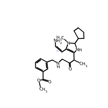 COC(=O)c1cccc(CNCC(=O)C(C)C2=C(/C=C\N)N(C)C(C3CCCC3)N2)c1